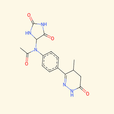 CC(=O)N(c1ccc(C2=NNC(=O)CC2C)cc1)C1NC(=O)NC1=O